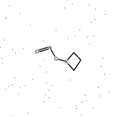 O=NON1CCC1